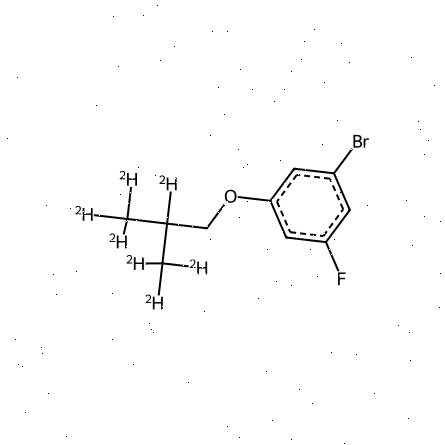 [2H]C([2H])([2H])C([2H])(COc1cc(F)cc(Br)c1)C([2H])([2H])[2H]